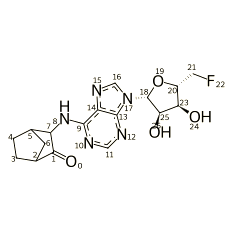 O=C1C2CCC(C2)C1Nc1ncnc2c1ncn2[C@@H]1O[C@H](CF)[C@@H](O)[C@H]1O